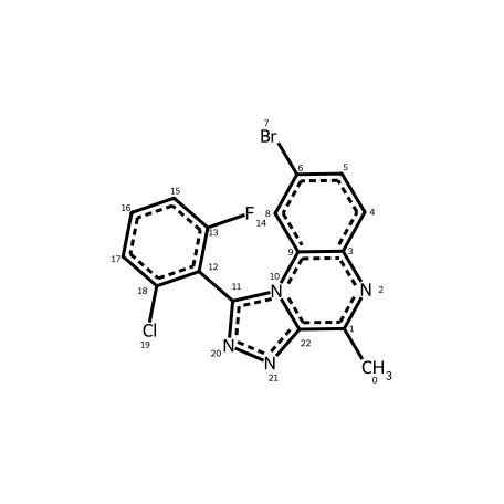 Cc1nc2ccc(Br)cc2n2c(-c3c(F)cccc3Cl)nnc12